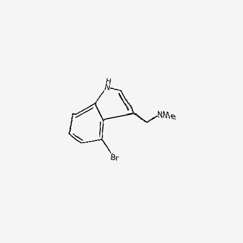 CNCc1c[nH]c2cccc(Br)c12